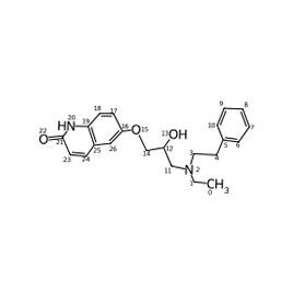 CCN(CCc1ccccc1)CC(O)COc1ccc2[nH]c(=O)ccc2c1